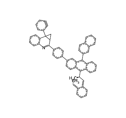 C/C=c1/cccc/c1=C/[C@@H](C)c1c2ccccc2c(-c2ccc3ccccc3c2)c2cc(-c3ccc(C4=Nc5ccccc5C5(c6c#cccc6)CC45)cc3)ccc12